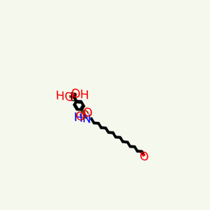 O=CCCCCCCCCCCCCCCNS(=O)(=O)c1ccc(B(O)O)cc1